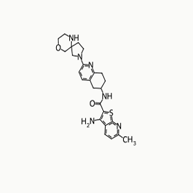 Cc1ccc2c(N)c(C(=O)NC3CCc4nc(N5CCC6(COCCN6)C5)ccc4C3)sc2n1